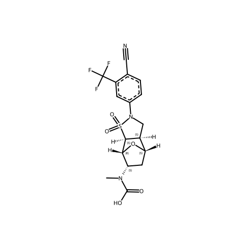 CN(C(=O)O)[C@H]1C[C@@H]2O[C@H]1[C@@H]1[C@H]2CN(c2ccc(C#N)c(C(F)(F)F)c2)S1(=O)=O